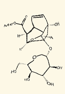 COC(=O)[C@H]1C2C=C[C@@]3(O)CO[C@@H]1O[C@H](O[C@H]1O[C@@H](CO)[C@H](O)[C@@H](O)[C@@H]1O)C23